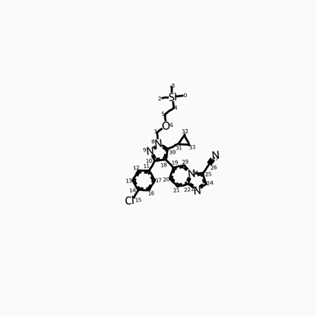 C[Si](C)(C)CCOCn1nc(-c2ccc(Cl)cc2)c(-c2ccc3ncc(C#N)n3c2)c1C1CC1